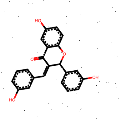 O=C1C(=Cc2cccc(O)c2)C(c2cccc(O)c2)Oc2ccc(O)cc21